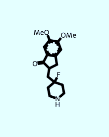 COc1cc2c(cc1OC)C(=O)C(CC1(F)CCNCC1)C2